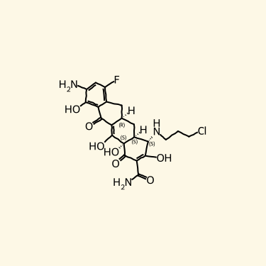 NC(=O)C1=C(O)[C@@H](NCCCCl)[C@@H]2C[C@@H]3Cc4c(F)cc(N)c(O)c4C(=O)C3=C(O)[C@]2(O)C1=O